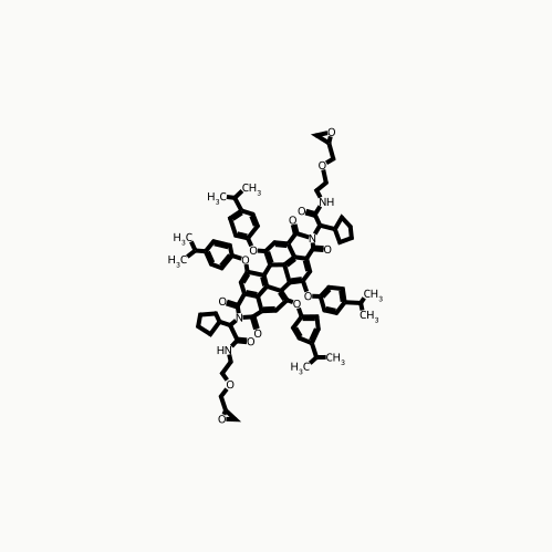 CC(C)c1ccc(Oc2cc3c4c(cc(Oc5ccc(C(C)C)cc5)c5c6c(Oc7ccc(C(C)C)cc7)cc7c8c(cc(Oc9ccc(C(C)C)cc9)c(c2c45)c86)C(=O)N(C(C(=O)NCCOCC2CO2)C2CCCC2)C7=O)C(=O)N(C(C(=O)NCCOCC2CO2)C2CCCC2)C3=O)cc1